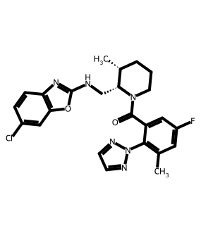 Cc1cc(F)cc(C(=O)N2CCC[C@@H](C)[C@H]2CNc2nc3ccc(Cl)cc3o2)c1-n1nccn1